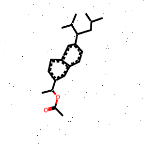 CC(=O)OC(C)c1ccc2cc(C(CC(C)C)C(C)C)ccc2c1